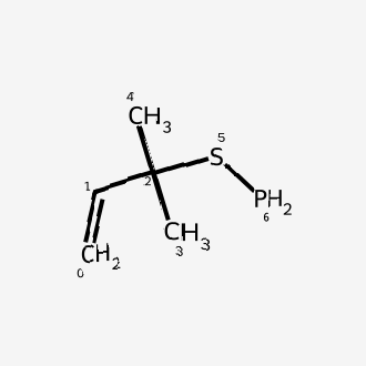 C=CC(C)(C)SP